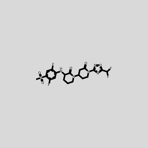 CS(=O)(=O)c1cc(F)c(NC2CCCN(C3CCN(c4noc(C(F)F)n4)C(=O)C3)C2=O)cc1F